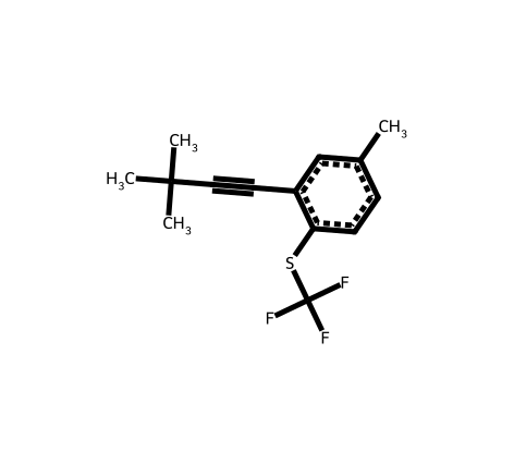 Cc1ccc(SC(F)(F)F)c(C#CC(C)(C)C)c1